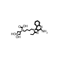 CCc1nc2c(N)nc3ccccc3c2n1CCCCN(C(=O)O)C1CS(O)(O)C1